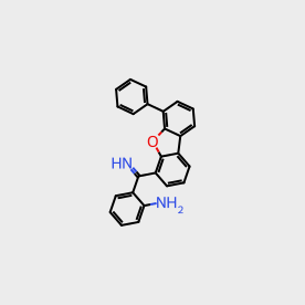 N=C(c1ccccc1N)c1cccc2c1oc1c(-c3ccccc3)cccc12